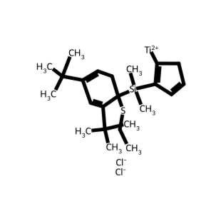 CCSC1([Si](C)(C)C2=[C]([Ti+2])CC=C2)CC=C(C(C)(C)C)C=C1C(C)(C)C.[Cl-].[Cl-]